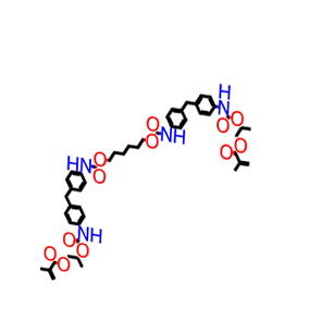 C=C(C)C(=O)OCC(C)OC(=O)Nc1ccc(Cc2ccc(NC(=O)OCCCCCCOC(=O)Nc3ccc(Cc4ccc(NC(=O)OC(C)COC(=O)C(=C)C)cc4)cc3)cc2)cc1